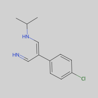 CC(C)N/C=C(\C=N)c1ccc(Cl)cc1